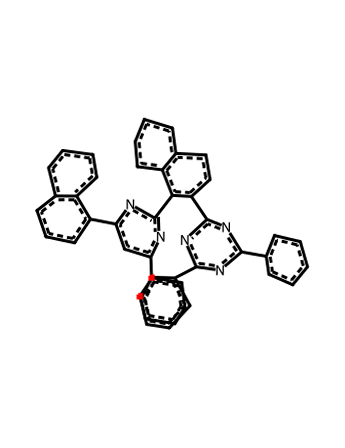 c1ccc(-c2cc(-c3cccc4ccccc34)nc(-c3c(-c4nc(-c5ccccc5)nc(-c5ccccc5)n4)ccc4ccccc34)n2)cc1